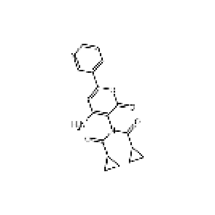 Nc1cc(-c2cccnc2)oc(=O)c1N(C(=O)C1CC1)C(=O)C1CC1